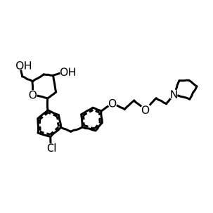 OCC1CC(O)CC(c2ccc(Cl)c(Cc3ccc(OCCOCCN4CCCC4)cc3)c2)O1